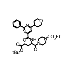 CCOC(=O)N1CCN(C(=O)C(CCC(=O)OC(C)(C)C)NC(=O)c2cc(C3CCOCC3)nc(-c3ccccc3)n2)CC1